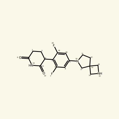 O=C1CCC(c2c(F)cc(N3CCC4(CNC4)C3)cc2F)C(=O)N1